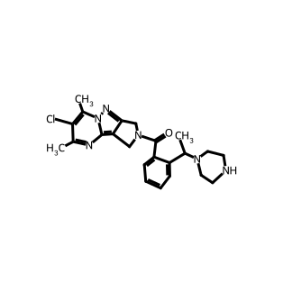 Cc1nc2c3c(nn2c(C)c1Cl)CN(C(=O)c1ccccc1C(C)N1CCNCC1)C3